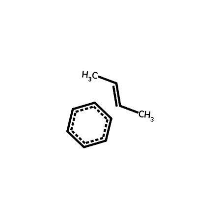 CC=CC.c1ccccc1